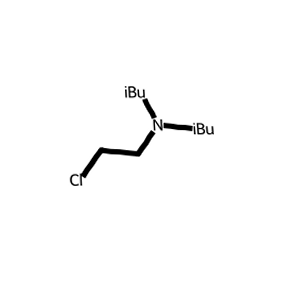 CCC(C)N(CCCl)C(C)CC